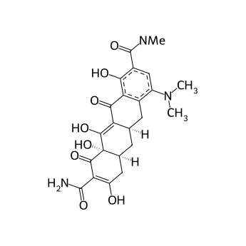 CNC(=O)c1cc(N(C)C)c2c(c1O)C(=O)C1=C(O)[C@]3(O)C(=O)C(C(N)=O)=C(O)C[C@@H]3C[C@@H]1C2